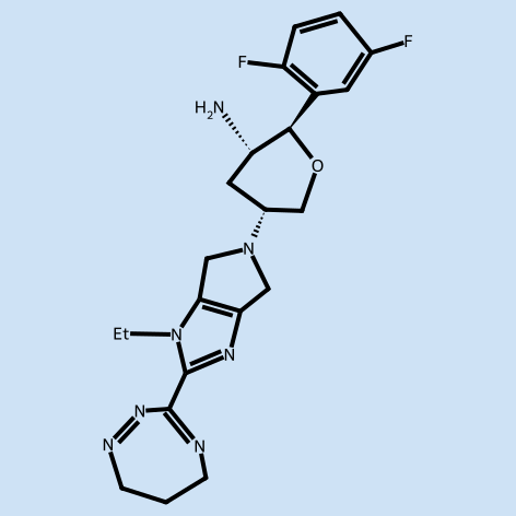 CCn1c(C2=NCCCN=N2)nc2c1CN([C@H]1CO[C@H](c3cc(F)ccc3F)[C@@H](N)C1)C2